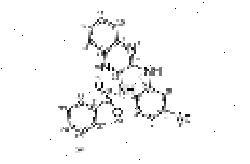 CC(=O)c1cccc(Nc2nc3ccccc3nc2NS(=O)(=O)c2cccc(C)c2)c1